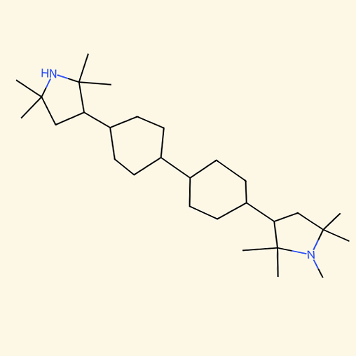 CN1C(C)(C)CC(C2CCC(C3CCC(C4CC(C)(C)NC4(C)C)CC3)CC2)C1(C)C